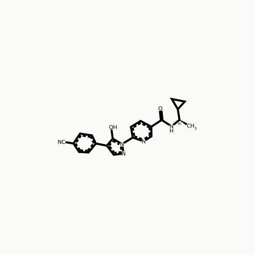 C[C@@H](NC(=O)c1ccc(-n2ncc(-c3ccc(C#N)cc3)c2O)nc1)C1CC1